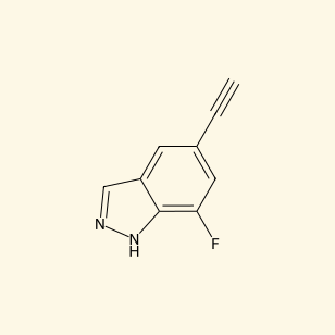 C#Cc1cc(F)c2[nH]ncc2c1